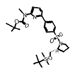 CN(C(=O)OC(C)(C)C)c1cccc(-c2ccc(S(=O)(=O)N3CCC[C@@H]3CO[Si](C)(C)C(C)(C)C)cc2)n1